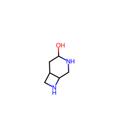 OC1CC2CNC2CN1